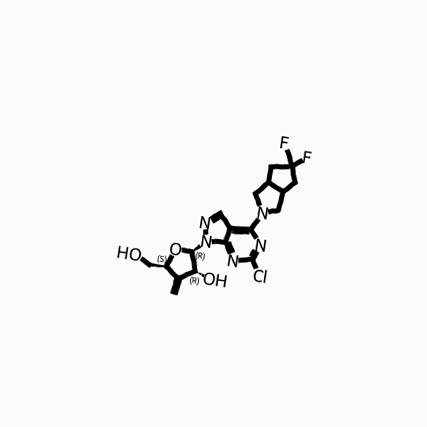 C=C1[C@@H](O)[C@H](n2ncc3c(N4CC5CC(F)(F)CC5C4)nc(Cl)nc32)O[C@@H]1CO